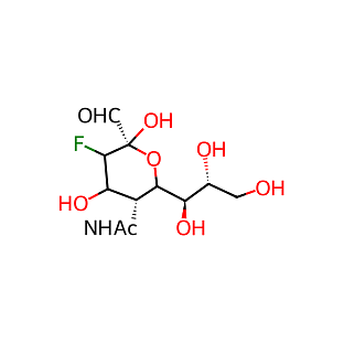 CC(=O)N[C@@H]1C(O)C(F)[C@](O)(C=O)OC1[C@H](O)[C@H](O)CO